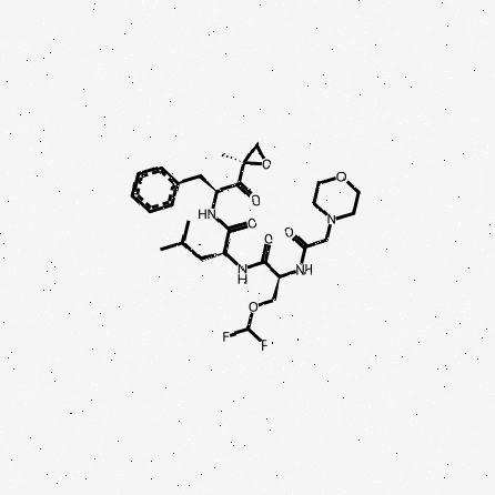 CC(C)C[C@H](NC(=O)[C@H](COC(F)F)NC(=O)CN1CCOCC1)C(=O)N[C@@H](Cc1ccccc1)C(=O)[C@@]1(C)CO1